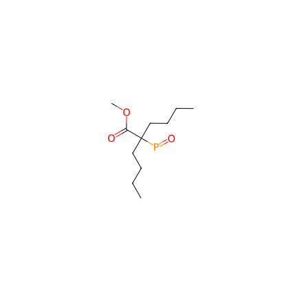 CCCCC(CCCC)(P=O)C(=O)OC